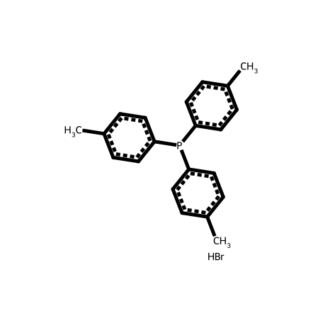 Br.Cc1ccc(P(c2ccc(C)cc2)c2ccc(C)cc2)cc1